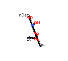 CC/C=C\CCCCOC(CCC(=O)OCCCCCCN(CCO)CCCCCC(=O)OCCCCCCCCCCC)OCCCC/C=C\CC